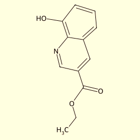 CCOC(=O)c1cnc2c(O)cccc2c1